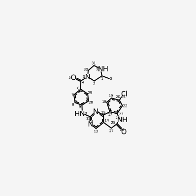 CC1CN(C(=O)c2ccc(Nc3ncc4c(n3)-c3ccc(Cl)cc3NC(=O)C4)cc2)CCN1